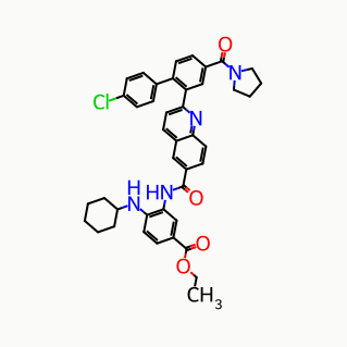 CCOC(=O)c1ccc(NC2CCCCC2)c(NC(=O)c2ccc3nc(-c4cc(C(=O)N5CCCC5)ccc4-c4ccc(Cl)cc4)ccc3c2)c1